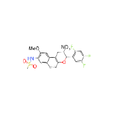 COc1cc2c3c(ccc2cc1NS(C)(=O)=O)OC(c1cc(F)c(F)cc1F)C([N+](=O)[O-])C3